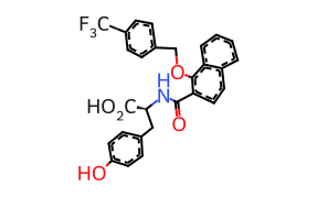 O=C(N[C@@H](Cc1ccc(O)cc1)C(=O)O)c1ccc2ccccc2c1OCc1ccc(C(F)(F)F)cc1